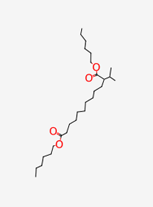 CCCCCCOC(=O)CCCCCCCCCC(C(=O)OCCCCCC)C(C)C